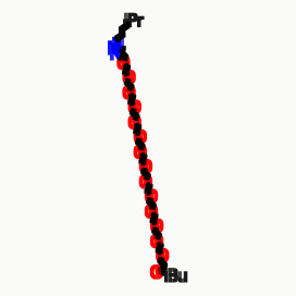 CCC(C)C(=O)CCOCCOCCOCCOCCOCCOCCOCCOCCOCCOCCOCCOCCOCCOCc1cn(CCCCC(C)C)nn1